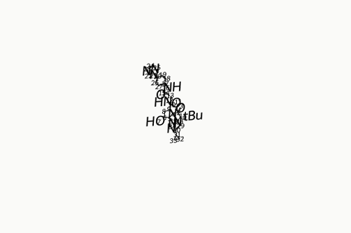 CC(C)(C)[C@@H](C(=O)N1C[C@H](O)C[C@H]1C(=O)NCC(=O)Nc1ccc(-n2cncn2)cc1)n1cc(C2CC2)nn1